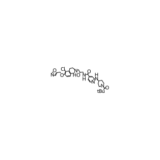 CC(C)(C)C(=O)N1CCC(Nc2cc(C(=O)NCC(O)CN3CCc4c(ccc(OCc5cnco5)c4Cl)C3)ccn2)CC1